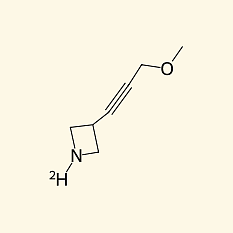 [2H]N1CC(C#CCOC)C1